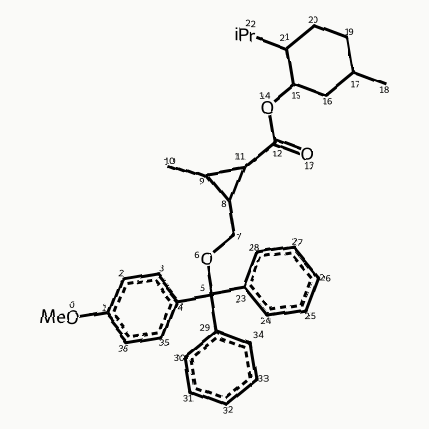 COc1ccc(C(OCC2C(C)C2C(=O)OC2CC(C)CCC2C(C)C)(c2ccccc2)c2ccccc2)cc1